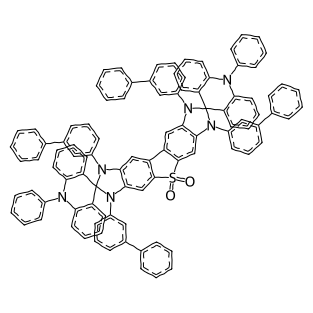 O=S1(=O)c2cc3c(cc2-c2cc4c(cc21)N(c1cccc(-c2ccccc2)c1)C1(c2ccccc2N(c2ccccc2)c2ccccc21)N4c1cccc(-c2ccccc2)c1)N(c1cccc(-c2ccccc2)c1)C1(c2ccccc2N(c2ccccc2)c2ccccc21)N3c1cccc(-c2ccccc2)c1